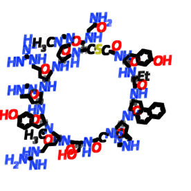 CC[C@@H]1NC(=O)[C@H](Cc2ccc(O)cc2)NC(=O)CSC[C@@H](C(=O)NCC(N)=O)NC(=O)[C@H](Cc2cncn2C)NC(=O)[C@H](CCCNC(=N)N)NC(=O)[C@H](Cc2c[nH]cn2)NC(=O)[C@H](Cc2ccc(O)cc2)N(C)C(=O)[C@H](CCCNC(=N)N)NC(=O)[C@H](CO)NC(=O)CNC(=O)[C@H](Cc2c[nH]cn2)NC(=O)[C@H](Cc2cccc3ccccc23)NC1=O